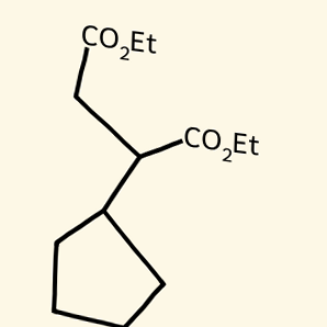 CCOC(=O)CC(C(=O)OCC)C1CCCC1